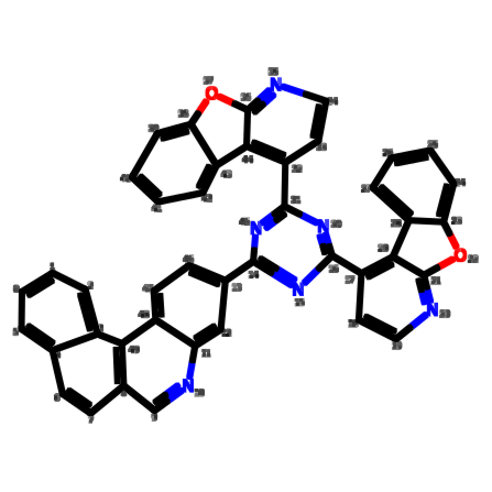 c1ccc2c(c1)ccc1cnc3cc(-c4nc(-c5ccnc6oc7ccccc7c56)nc(-c5ccnc6oc7ccccc7c56)n4)ccc3c12